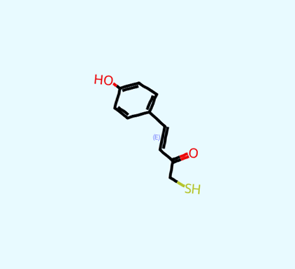 O=C(/C=C/c1ccc(O)cc1)CS